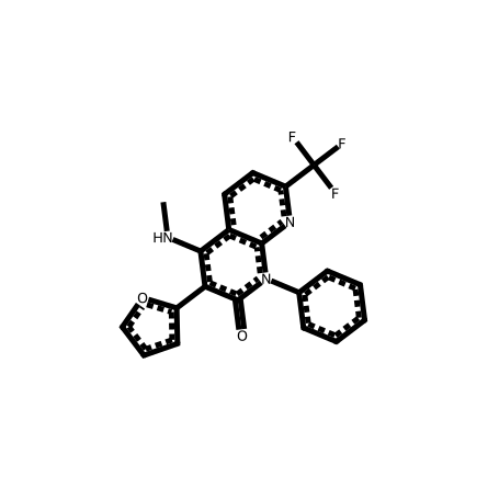 CNc1c(-c2ccco2)c(=O)n(-c2ccccc2)c2nc(C(F)(F)F)ccc12